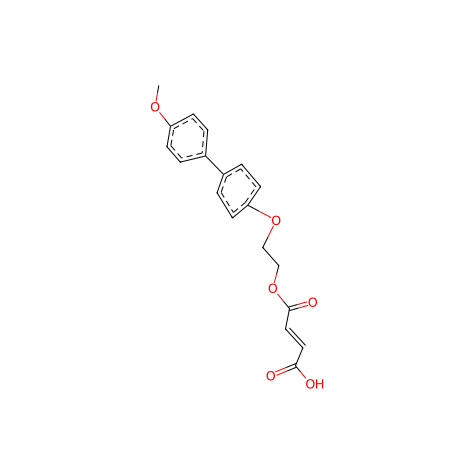 COc1ccc(-c2ccc(OCCOC(=O)C=CC(=O)O)cc2)cc1